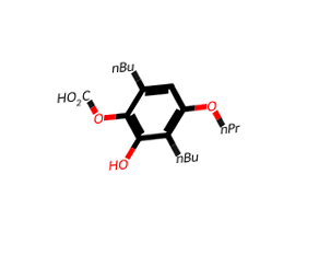 CCCCc1cc(OCCC)c(CCCC)c(O)c1OC(=O)O